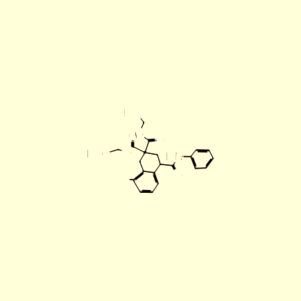 CCOC(=O)C1(C(=O)OCC)Cc2c(F)cccc2C(C(=O)Nc2ccccc2)C1